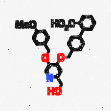 COc1ccc(COc2cnc(CO)cc2OCc2ccc(-c3ccccc3C(=O)O)cc2)cc1